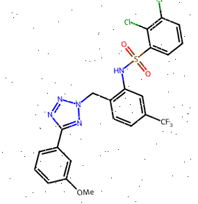 COc1cccc(-c2nnn(Cc3ccc(C(F)(F)F)cc3NS(=O)(=O)c3cccc(Cl)c3Cl)n2)c1